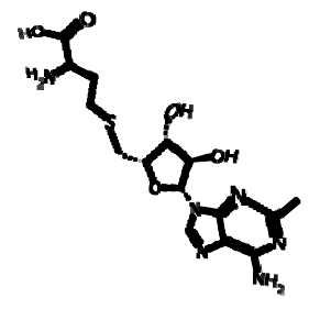 Cc1nc(N)c2ncn([C@@H]3O[C@H](CSCCC(N)C(=O)O)[C@H](O)[C@H]3O)c2n1